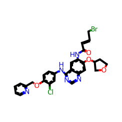 O=C(C=CCBr)Nc1cc2c(Nc3ccc(OCc4ccccn4)c(Cl)c3)ncnc2cc1OC1CCOC1